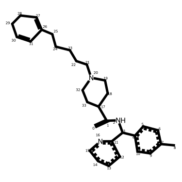 C=C(NC(c1ccc(C)cc1)c1ccccn1)C1CCN(CCCCCC2=CCCC=C2)CC1